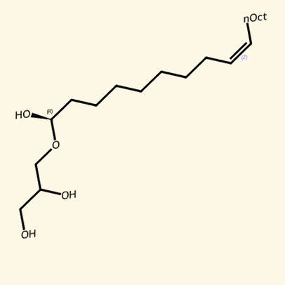 CCCCCCCC/C=C\CCCCCCC[C@H](O)OCC(O)CO